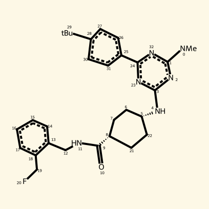 CNc1nc(N[C@H]2CC[C@@H](C(=O)NCc3ccccc3CF)CC2)nc(-c2ccc(C(C)(C)C)cc2)n1